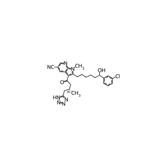 C[C@@H](CC(=O)c1c(CCCCCC(O)c2cccc(Cl)c2)n(C)c2ncc(C#N)cc12)Cc1nnn[nH]1